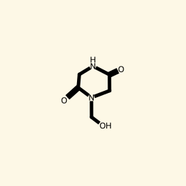 O=C1CN(CO)C(=O)CN1